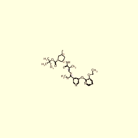 C=N/C(=N\C=C(/C)C(=O)N[C@H]1C[C@H](F)CN(C(=O)OC(C)(C)C)C1)c1cncc(Oc2ncccc2OCC)c1